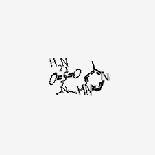 CN(C)S(N)(=O)=O.Cc1c[nH]cn1